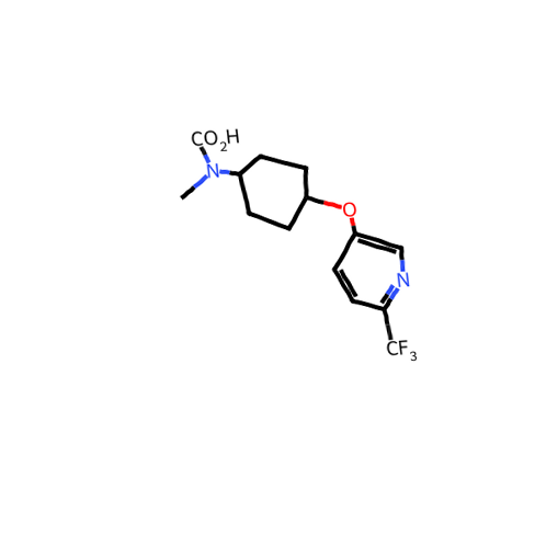 CN(C(=O)O)C1CCC(Oc2ccc(C(F)(F)F)nc2)CC1